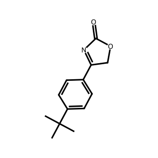 CC(C)(C)c1ccc(C2=NC(=O)OC2)cc1